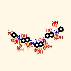 COc1ccc(N=Nc2c(SOOO)cc3c(S(=O)(=O)O)c(N=Nc4cc(S(=O)(=O)O)c5cc(S(=O)(=O)O)c(N=Nc6ccc7c(O)c(N=Nc8ccccc8SOOO)c(S(=O)(=O)O)cc7c6)c(O)c5c4N)ccc3c2O)c(S(=O)(=O)O)c1